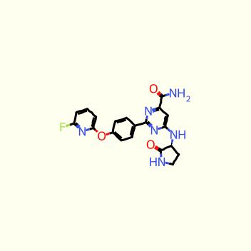 NC(=O)c1cc(N[C@H]2CCNC2=O)nc(-c2ccc(Oc3cccc(F)n3)cc2)n1